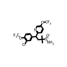 CC(C)(CC(c1ccc(OC(F)(F)F)c(Cl)c1)c1ccc(OC(F)(F)F)cn1)[S+](N)[O-]